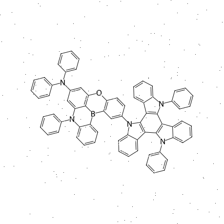 c1ccc(N(c2ccccc2)c2cc3c4c(c2)N(c2ccccc2)c2ccccc2B4c2cc(-n4c5ccccc5c5c6c(c7ccccc7n6-c6ccccc6)c6c(c7ccccc7n6-c6ccccc6)c54)ccc2O3)cc1